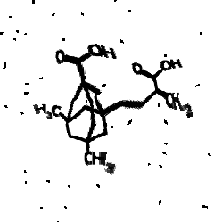 C=C(CCC12CC3(C)CC(C)(C1)CC(C(=O)O)(C3)C2)C(=O)O